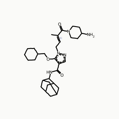 C/C(=C\Cn1ncc(C(=O)NC2C3CC4CC(C3)CC2C4)c1OCC1CCCCC1)C(=O)N1CCC(N)CC1